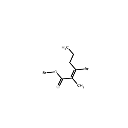 CCCC(Br)=C(C)C(=O)OBr